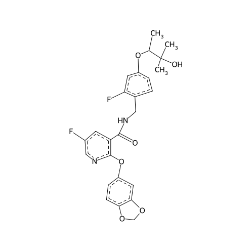 CC(Oc1ccc(CNC(=O)c2cc(F)cnc2Oc2ccc3c(c2)OCO3)c(F)c1)C(C)(C)O